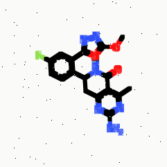 COc1nnc(-c2cc(F)ccc2C2Cc3nc(N)nc(C)c3C(=O)N2)o1